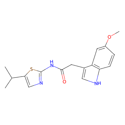 COc1ccc2[nH]cc(CC(=O)Nc3ncc(C(C)C)s3)c2c1